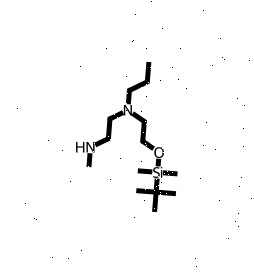 CCCN(CCNC)CCO[Si](C)(C)C(C)(C)C